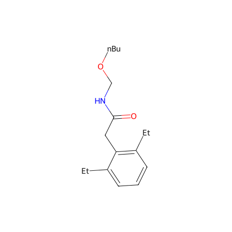 CCCCOCNC(=O)Cc1c(CC)cccc1CC